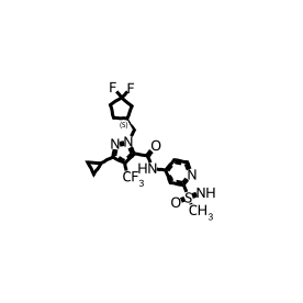 CS(=N)(=O)c1cc(NC(=O)c2c(C(F)(F)F)c(C3CC3)nn2C[C@H]2CCC(F)(F)C2)ccn1